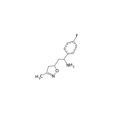 CC1=NOC(CC(N)c2ccc(F)cc2)C1